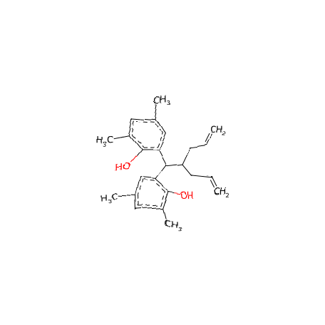 C=CCC(CC=C)C(c1cc(C)cc(C)c1O)c1cc(C)cc(C)c1O